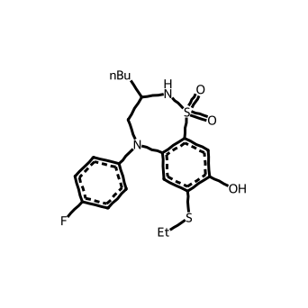 CCCCC1CN(c2ccc(F)cc2)c2cc(SCC)c(O)cc2S(=O)(=O)N1